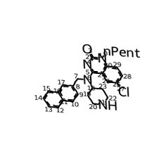 CCCCCn1c(=O)nc(N(Cc2ccc3ccccc3c2)C2CCNCC2)c2cc(Cl)ccc21